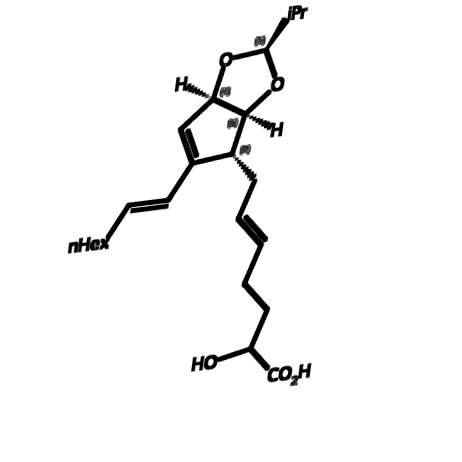 CCCCCCC=CC1=C[C@H]2O[C@@H](C(C)C)O[C@H]2[C@@H]1CC=CCCC(O)C(=O)O